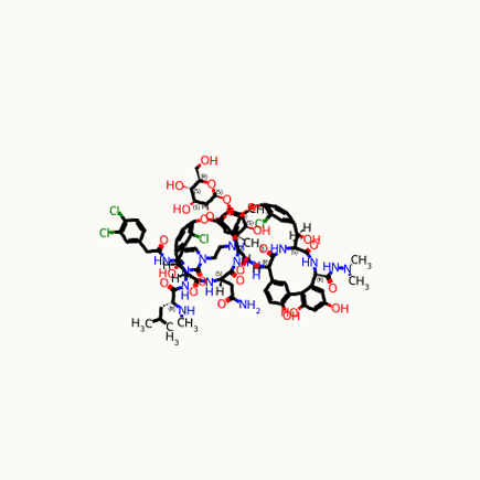 CN[C@H](CC(C)C)C(=O)N[C@H]1C(=O)N[C@@H](CC(N)=O)C(=O)N[C@H]2C(=O)N[C@H]3C(=O)N[C@H](C(=O)N[C@@H](C(=O)NN(C)C)c4cc(O)cc(O)c4-c4cc3ccc4O)[C@H](O)c3ccc(c(Cl)c3)Oc3cc2cc(c3O[C@@H]2O[C@H](CO)[C@@H](O)[C@H](O)[C@H]2O[C@H]2C[C@](C)(NCCn3ccc(NC(=O)Cc4ccc(Cl)c(Cl)c4)nc3=O)[C@H](O)[C@H](C)O2)Oc2ccc(cc2Cl)[C@H]1O